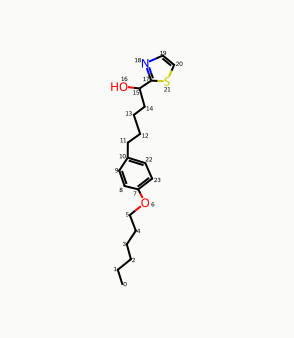 CCCCCCOc1ccc(CCCCC(O)c2nccs2)cc1